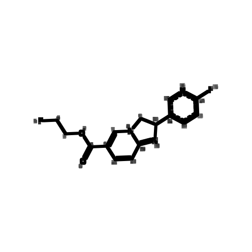 O=C(OCCF)C1=CN2CC(c3ccc(F)nc3)N=C2C=C1